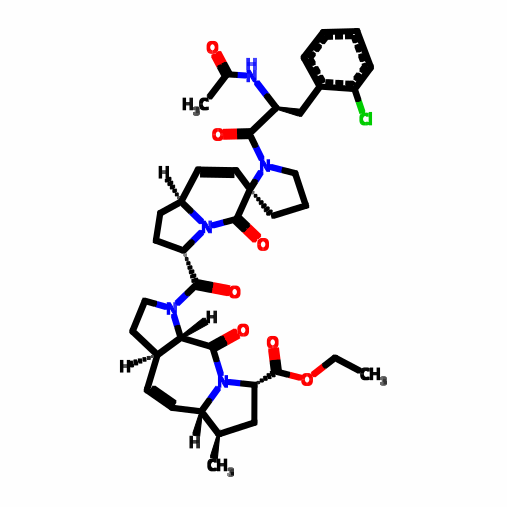 CCOC(=O)[C@@H]1C[C@@H](C)[C@@H]2C=C[C@H]3CCN(C(=O)[C@@H]4CC[C@H]5C=C[C@]6(CCCN6C(=O)[C@H](Cc6ccccc6Cl)NC(C)=O)C(=O)N54)[C@@H]3C(=O)N12